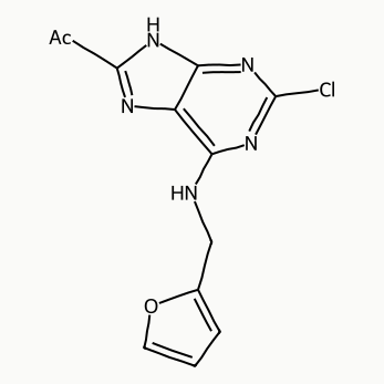 CC(=O)c1nc2c(NCc3ccco3)nc(Cl)nc2[nH]1